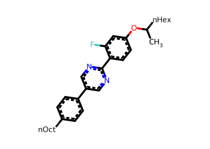 CCCCCCCCc1ccc(-c2cnc(-c3ccc(OC(C)CCCCCC)cc3F)nc2)cc1